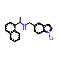 CCn1ccc2cc(CNC(C)c3cccc4ccccc34)ccc21